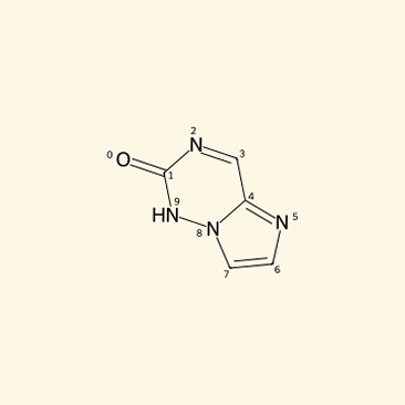 O=c1ncc2nccn2[nH]1